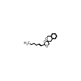 CCCCC=CC1OCC2(Cc3ccccc3CO2)O1